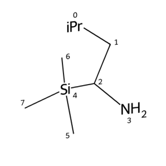 CC(C)CC(N)[Si](C)(C)C